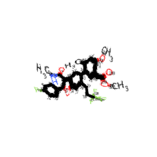 CNC(=O)c1c(-c2ccc(F)cc2)oc2cc(CCC(F)(F)F)c(-c3cc(C(=O)OC)c(OC)cc3C)cc12